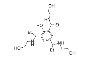 CCC(NCCO)c1cc(C(CC)NCCO)c(O)c(C(CC)NCCO)c1